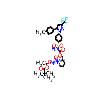 Cc1ccc(-c2cc(C(F)(F)F)nn2-c2ccc(S(=O)(=O)NC(=O)OC[C@@H]3CCCN3/[N+]([O-])=N/OC(C)OC(=O)C(C)(C)C)cc2)cc1